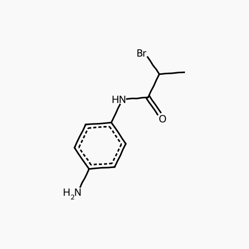 CC(Br)C(=O)Nc1ccc(N)cc1